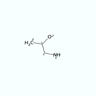 CC([O])C[NH]